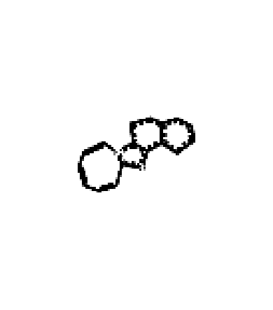 C1=CC=C[n+]2c(oc3c4ccccc4ccc32)C=C1